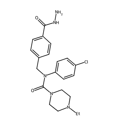 CCN1CCN(C(=O)N(Cc2ccc(C(=O)NN)cc2)c2ccc(Cl)cc2)CC1